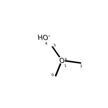 C[O+](C)C.[OH-]